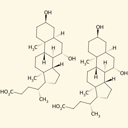 C[C@H](CCC(=O)O)[C@H]1CC[C@H]2[C@@H]3[C@@H](O)C[C@@H]4C[C@H](O)CC[C@]4(C)[C@H]3CC[C@]12C.C[C@H](CCC(=O)O)[C@H]1CC[C@H]2[C@@H]3[C@@H](O)C[C@@H]4C[C@H](O)CC[C@]4(C)[C@H]3CC[C@]12C